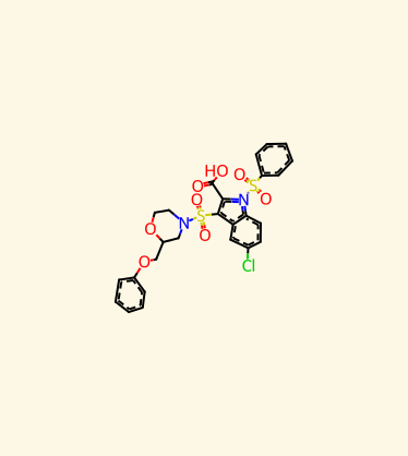 O=C(O)c1c(S(=O)(=O)N2CCOC(COc3ccccc3)C2)c2cc(Cl)ccc2n1S(=O)(=O)c1ccccc1